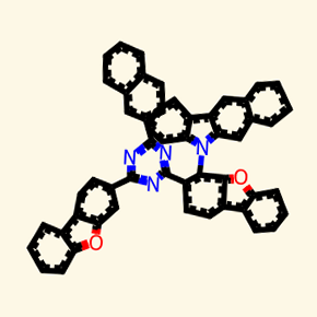 c1ccc2cc(-c3nc(-c4ccc5c(c4)oc4ccccc45)nc(-c4ccc5c(oc6ccccc65)c4-n4c5ccccc5c5cc6ccccc6cc54)n3)ccc2c1